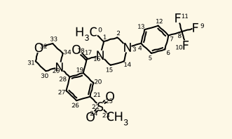 CC1CN(c2ccc(C(F)(F)F)cc2)CCN1C(=O)c1cc(S(C)(=O)=O)ccc1N1CCOCC1